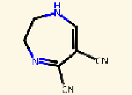 N#CC1=CNCCN=C1C#N